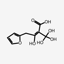 O=C(O)C(=C(O)Cc1ccco1)C(O)(O)O